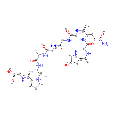 C=C(NCC(=O)NC(CCC(N)=O)C(=C)NCC(=O)NCC(=O)NCC(=O)NC(C)C(=O)NCC(=C)N1CCCC1C(=C)NCC(=O)O)C1CC(O)CN1